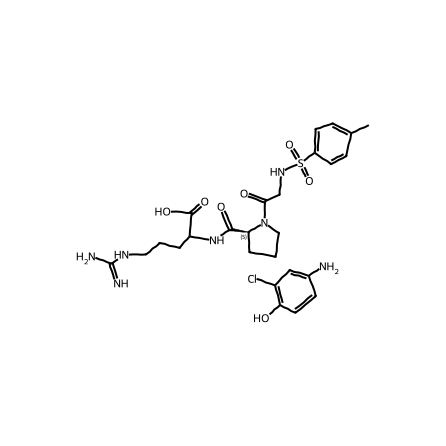 Cc1ccc(S(=O)(=O)NCC(=O)N2CCC[C@H]2C(=O)NC(CCCNC(=N)N)C(=O)O)cc1.Nc1ccc(O)c(Cl)c1